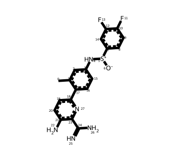 Cc1cc(N[S+]([O-])c2ccc(F)c(F)c2)ccc1-c1ccc(N)c(C(=N)N)n1